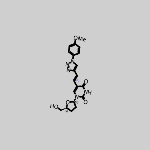 COc1ccc(-n2cc(/C=C/c3cn([C@H]4CC[C@@H](CO)O4)c(=O)[nH]c3=O)nn2)cc1